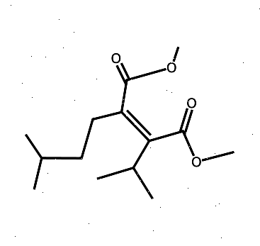 COC(=O)C(CCC(C)C)=C(C(=O)OC)C(C)C